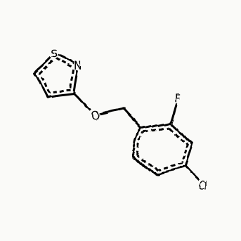 Fc1cc(Cl)ccc1COc1ccsn1